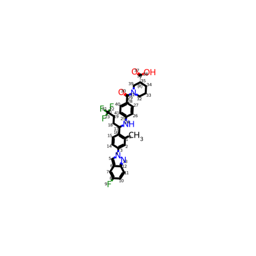 Cc1cc(-n2cc3cc(F)ccc3n2)ccc1C(CCC(F)(F)F)Nc1ccc(C(=O)N2CCC[C@@H](C(=O)O)C2)cc1